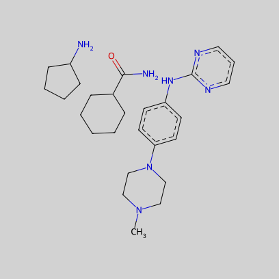 CN1CCN(c2ccc(Nc3ncccn3)cc2)CC1.NC(=O)C1CCCCC1.NC1CCCC1